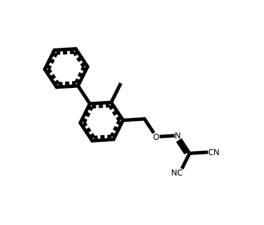 Cc1c(CON=C(C#N)C#N)cccc1-c1ccccc1